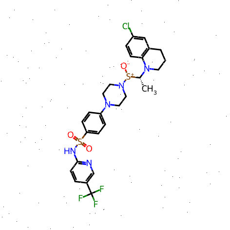 C[C@@H](N1CCCc2cc(Cl)ccc21)[S+]([O-])N1CCN(c2ccc(S(=O)(=O)Nc3ccc(C(F)(F)F)cn3)cc2)CC1